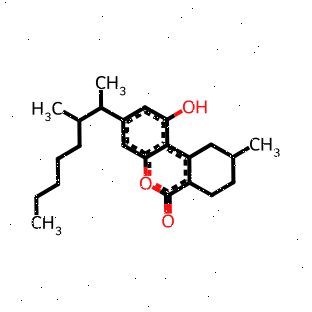 CCCCCC(C)C(C)c1cc(O)c2c3c(c(=O)oc2c1)CCC(C)C3